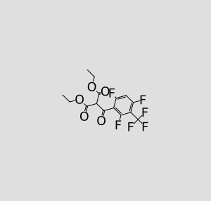 CCOC(=O)C(C(=O)OCC)C(=O)c1c(F)cc(F)c(C(F)(F)F)c1F